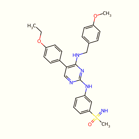 CCOc1ccc(-c2cnc(Nc3cccc(S(C)(=N)=O)c3)nc2NCc2ccc(OC)cc2)cc1